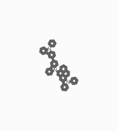 c1ccc(-n2c3ccccc3c3cc(-c4ccc5c(c4)c4ccccc4n5-c4cc5cc6c7ccccc7n(-c7ccccc7)c6c6ccc7cccc4c7c56)ccc32)cc1